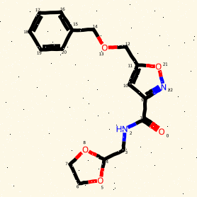 O=C(NCC1OCCO1)c1cc(COCc2ccccc2)on1